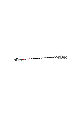 CCCCCCCCCCCCCCCCCCCCCCCCCCCCCCCCCCCCCCCCCCCCCCCCCCCCCCCCCCCCC